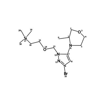 CC1COCCN1c1cc(Br)nn1COCC[Si](C)(C)C